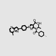 Cc1ccnc2cc(-c3ccc(-n4cc(C(=O)O)c(N(C(=O)[C@H]5CC[C@H](C)CC5)C(C)C)n4)cc3)nn12